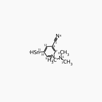 CN(C)C.N#Cc1cnc[c]([SnH])c1